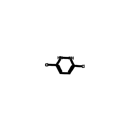 ClC1=CC=C(Cl)NN1